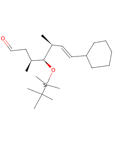 C[C@@H](/C=C/C1CCCCC1)[C@@H](O[Si](C)(C)C(C)(C)C)[C@@H](C)CC=O